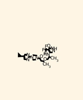 CC(COC(C)CC(=O)N1CCN(c2ncc(C3CC3)cn2)CC1)Nc1cn[nH]c(=O)c1C(F)(F)F